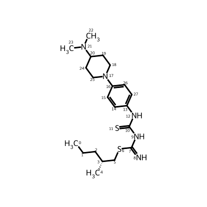 CCC[C@@H](C)CSC(=N)NC(=S)Nc1ccc(N2CCC(N(C)C)CC2)cc1